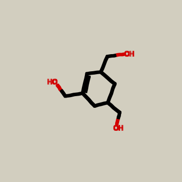 OCC1=CC(CO)CC(CO)C1